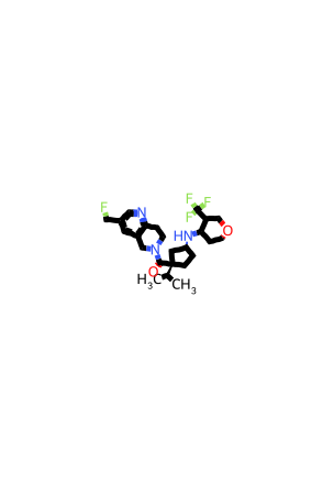 CC(C)[C@]1(C(=O)N2CCc3ncc(CF)cc3C2)CC[C@@H](NC2CCOCC2C(F)(F)F)C1